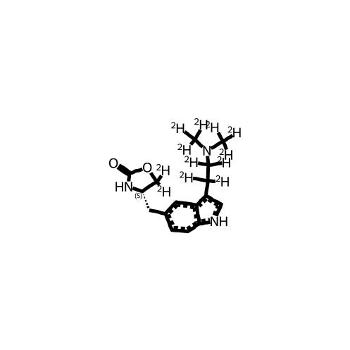 [2H]C1([2H])OC(=O)N[C@H]1Cc1ccc2[nH]cc(C([2H])([2H])C([2H])([2H])N(C([2H])([2H])[2H])C([2H])([2H])[2H])c2c1